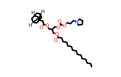 CCCCCCCCCCCCCCC(=O)OCC(COC(=O)CC12C[C@H]3C[C@H](C1)C[C@@H](C2)C3)COC(=O)OCCCN1CCCC1